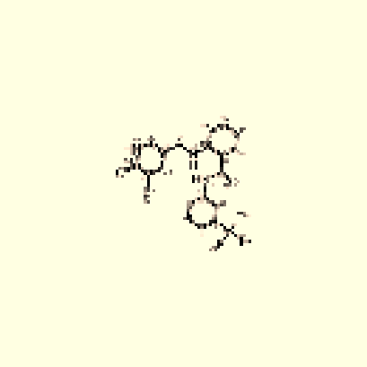 O=C(Nc1cccc(C(F)(F)F)c1)c1ccccc1NCc1c[nH]c(=O)c(Br)c1